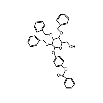 O=C(Oc1ccc(OC2OC(CO)C(OCc3ccccc3)C(OCc3ccccc3)C2OCc2ccccc2)cc1)c1ccccc1